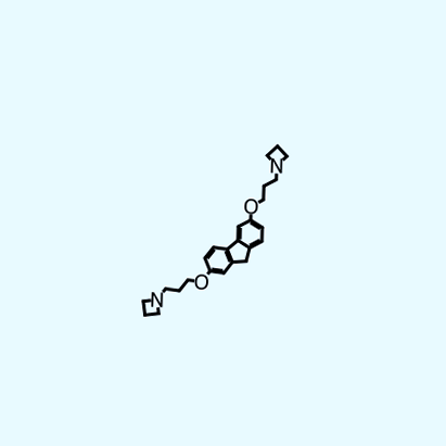 c1cc2c(cc1OCCCN1CCC1)Cc1ccc(OCCCN3CCC3)cc1-2